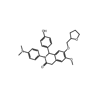 COc1cc2c(cc1OCC1CCCO1)C(c1ccc(O)cc1)N(c1ccc(N(C)C)cc1)C(=O)C2